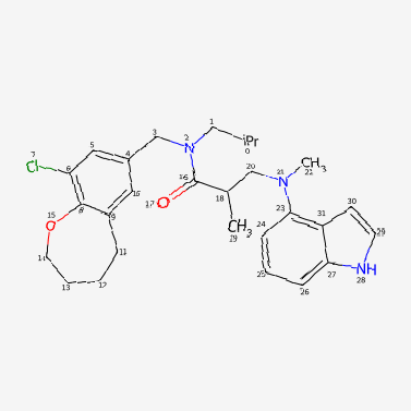 CC(C)CN(Cc1cc(Cl)c2c(c1)CCCCO2)C(=O)C(C)CN(C)c1cccc2[nH]ccc12